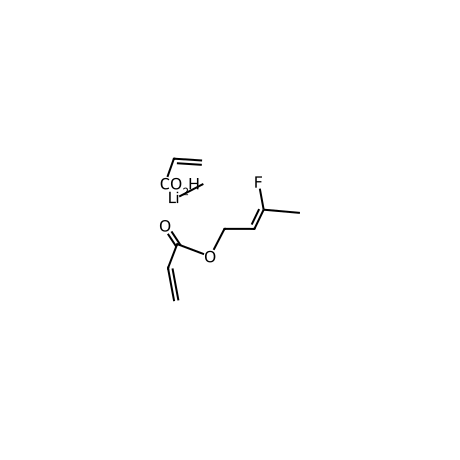 C=CC(=O)O.C=CC(=O)OCC=C(C)F.[Li][CH3]